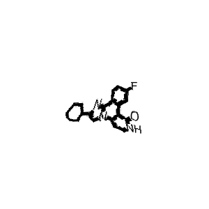 O=c1[nH]ccc2c1c1cc(F)ccc1c1nc(C3CCCCC3)cn21